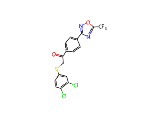 O=C(CSc1ccc(Cl)c(Cl)c1)c1ccc(-c2noc(C(F)(F)F)n2)cc1